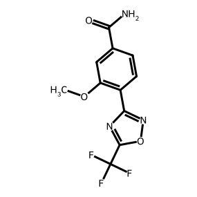 COc1cc(C(N)=O)ccc1-c1noc(C(F)(F)F)n1